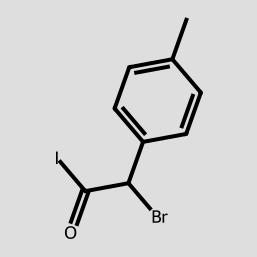 Cc1ccc(C(Br)C(=O)I)cc1